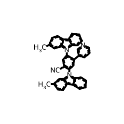 Cc1ccc2c3ccccc3n(-c3cc(-c4cccnc4)c(-n4c5ccccc5c5ccc(C)cc54)cc3C#N)c2c1